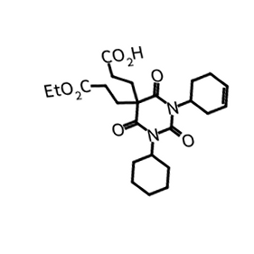 CCOC(=O)CCC1(CCC(=O)O)C(=O)N(C2CC=CCC2)C(=O)N(C2CCCCC2)C1=O